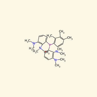 Cc1ccc(P(c2cccc(N(C)C)c2N(C)C)c2cccc(N(C)C)c2N(C)C)c(C)c1C